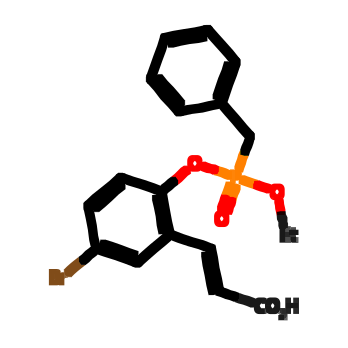 CCOP(=O)(Cc1ccccc1)Oc1ccc(Br)cc1C=CC(=O)O